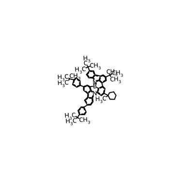 CC(C)(C)c1ccc(-c2ccc3c(c2)c2cc(-c4ccc(C(C)(C)C)cc4)cc4c2n3-c2cc(C3(C)CCCCC3)cc3c2B4n2c4ccc(C(C)(C)C)cc4c4cc(C(C)(C)C)cc-3c42)cc1